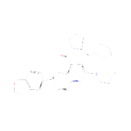 C[C@@H](O)CNc1cc(C(=O)N2CCC[C@H]2CN2CCCC2)c2cc(-c3ccc4c(c3)OCO4)ccc2n1